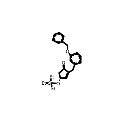 CC[Si](CC)(CC)O[C@H]1C=C(Cc2cccc(OCc3ccccc3)c2)C(=O)C1